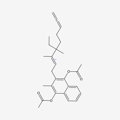 C=C=CCCC(C)(CC)/C(C)=C/Cc1c(C)c(OC(C)=O)c2ccccc2c1OC(C)=O